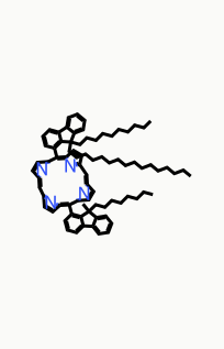 CCCCCCCCCCCCCCCCC1(CCCCCCCCCC)c2ccccc2-c2cccc(C3=C4C=CC(=N4)C=C4C=CC(=N4)C(c4cccc5c4C(C)(CCCCCCCC)c4ccccc4-5)=C4C=CC(=N4)C=C4C=CC3=N4)c21